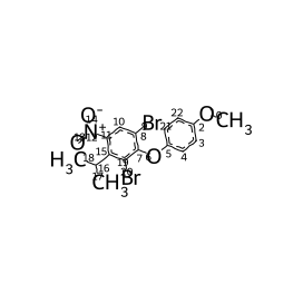 COc1ccc(Oc2c(Br)cc([N+](=O)[O-])c(C(C)C)c2Br)cc1